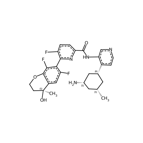 C[C@@H]1C[C@H](N)C[C@H](c2ccncc2NC(=O)c2ccc(F)c(-c3c(F)cc4c(c3F)OCC[C@]4(C)O)n2)C1